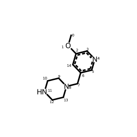 COc1cncc(CN2CCNCC2)c1